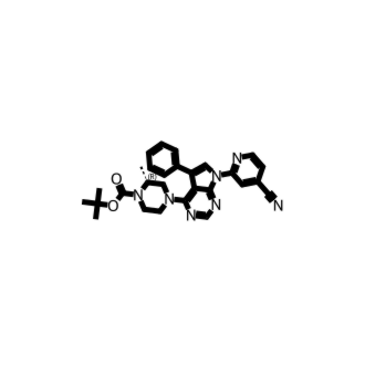 C[C@@H]1CN(c2ncnc3c2c(-c2ccccc2)cn3-c2cc(C#N)ccn2)CCN1C(=O)OC(C)(C)C